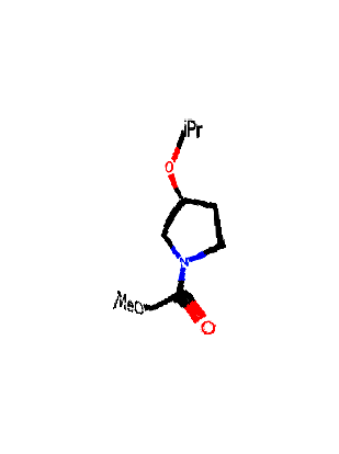 COC(=O)N1CC[C@H](OC(C)C)C1